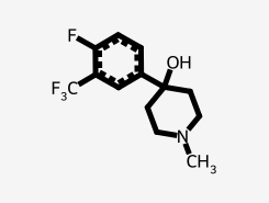 CN1CCC(O)(c2ccc(F)c(C(F)(F)F)c2)CC1